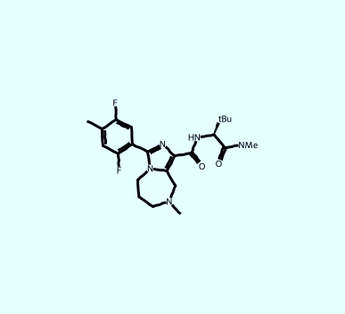 CNC(=O)[C@@H](NC(=O)c1nc(-c2cc(F)c(C)cc2F)n2c1CN(C)CCC2)C(C)(C)C